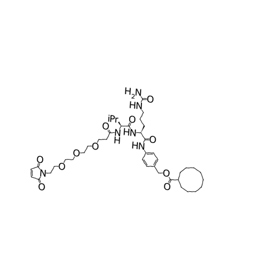 CC(C)[C@H](NC(=O)CCOCCOCCOCCN1C(=O)C=CC1=O)C(=O)N[C@@H](CCCNC(N)=O)C(=O)Nc1ccc(COC(=O)C2CCCCCCCCC2)cc1